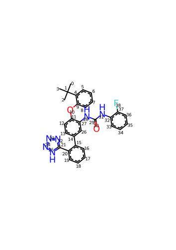 CC(C)(C)c1ccccc1Oc1ccc(-c2ccccc2-c2nnn[nH]2)cc1NC(=O)Nc1ccccc1F